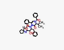 CC(=O)N([C@@H](Cc1ccccc1)C(O)C1=NC2(CCCC2)CO1)N1C(=O)C(C(C)C)N(C(=O)c2ccccc2)C=C1c1ccccc1